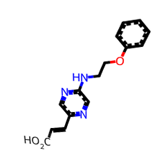 O=C(O)C=Cc1cnc(NCCOc2ccccc2)cn1